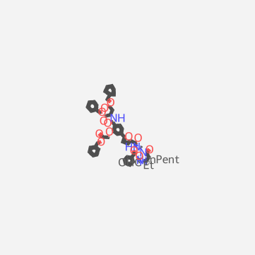 CCCCCC(C(=O)NCNC(=O)c1ccc(-c2ccc(C(=O)NC(CC(=O)OCc3ccccc3)C(=O)OCc3ccccc3)c(OCC(=O)OCc3ccccc3)c2)o1)[C@@H](CC)N(C=O)OC(=O)c1ccccc1